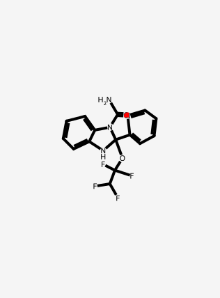 NC(=O)N1c2ccccc2NC1(OC(F)(F)C(F)F)c1ccccn1